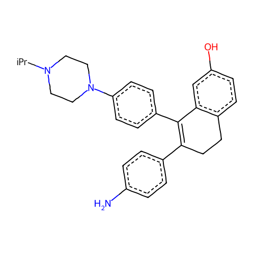 CC(C)N1CCN(c2ccc(C3=C(c4ccc(N)cc4)CCc4ccc(O)cc43)cc2)CC1